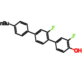 CCCCc1ccc(-c2ccc(-c3ccc(O)c(F)c3)c(F)c2)cc1